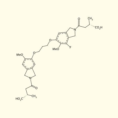 COc1cc2c(cc1OCCCOc1cc3c(c(F)c1OC)CN(C(=O)C[C@H](C)C(=O)O)C3)CN(C(=O)C[C@H](C)C(=O)O)C2